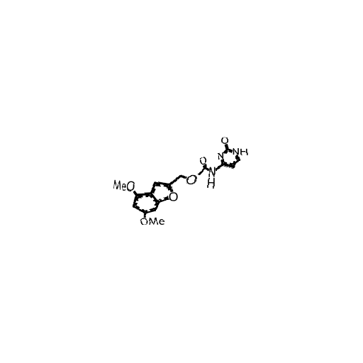 COc1cc(OC)c2cc(COC(=O)Nc3cc[nH]c(=O)n3)oc2c1